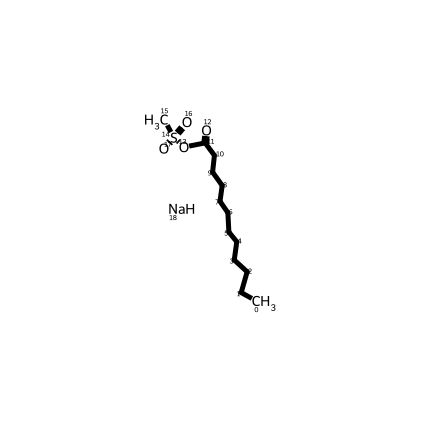 CCCCCCCCCCCC(=O)OS(C)(=O)=O.[NaH]